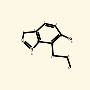 CCCc1c(Br)ccc2c1B=NC2